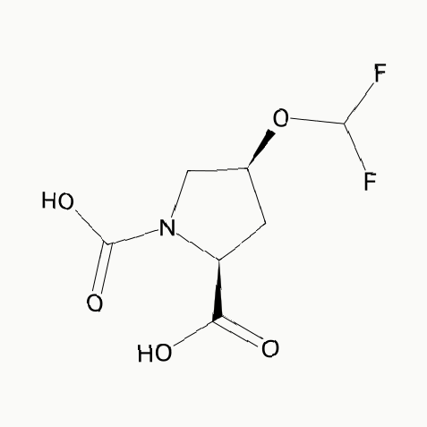 O=C(O)[C@@H]1C[C@H](OC(F)F)CN1C(=O)O